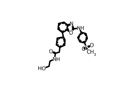 CS(=O)(=O)c1ccc(Nc2nc3cccc(-c4ccc(CC(=O)NCCO)cc4)c3o2)cc1